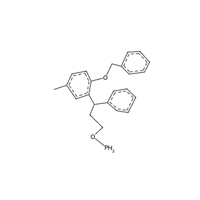 Cc1ccc(OCc2ccccc2)c(C(CCOP)c2ccccc2)c1